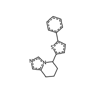 c1ccc(-c2ccc(C3CCCc4cncn43)s2)cc1